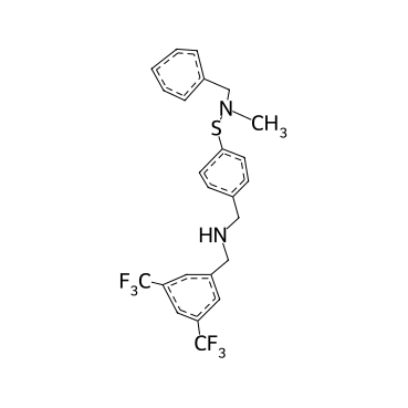 CN(Cc1ccccc1)Sc1ccc(CNCc2cc(C(F)(F)F)cc(C(F)(F)F)c2)cc1